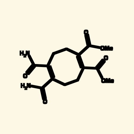 COC(=O)/C1=C(\C(=O)OC)CC/C(C(N)=O)=C(/C(N)=O)CC1